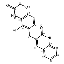 O=C1COc2ccc(Cc3cc4ccccc4[nH]c3=O)c(F)c2N1